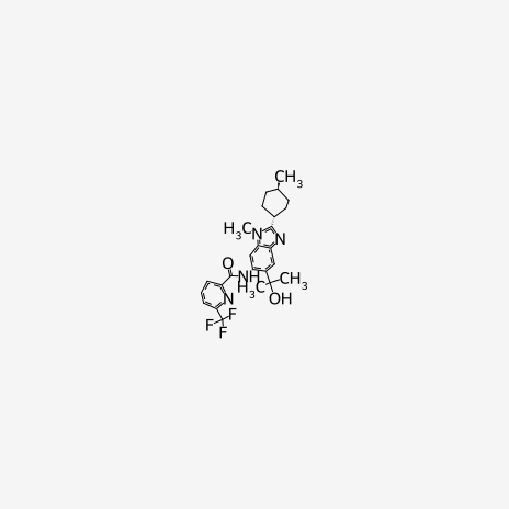 Cn1c2cc(NC(=O)c3cccc(C(F)(F)F)n3)c(C(C)(C)O)cc2nc1[C@H]1CC[C@H](C)CC1